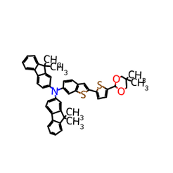 CC1(C)COC(c2ccc(-c3cc4ccc(N(c5ccc6c(c5)C(C)(C)c5ccccc5-6)c5ccc6c(c5)C(C)(C)c5ccccc5-6)cc4s3)s2)OC1